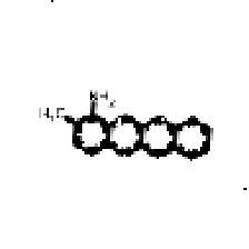 Cc1ccc2cc3cc4ccccc4cc3cc2c1N